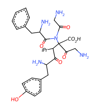 CC(C)C(C(=O)C(N)Cc1ccc(O)cc1)C(C(=O)O)(C(=O)CN)N(C(=O)CN)C(=O)C(N)Cc1ccccc1